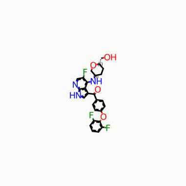 O=C(c1ccc(Oc2c(F)cccc2F)cc1)c1c[nH]c2ncc(F)c(N[C@@H]3CC[C@@H](CO)OC3)c12